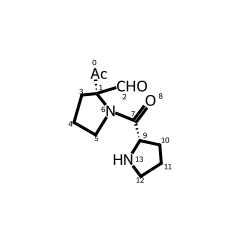 CC(=O)[C@@]1(C=O)CCCN1C(=O)[C@@H]1CCCN1